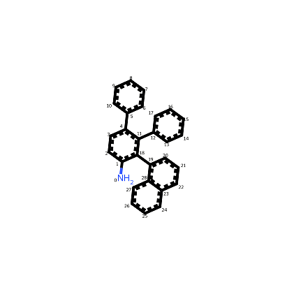 Nc1ccc(-c2ccccc2)c(-c2ccccc2)c1-c1cccc2ccccc12